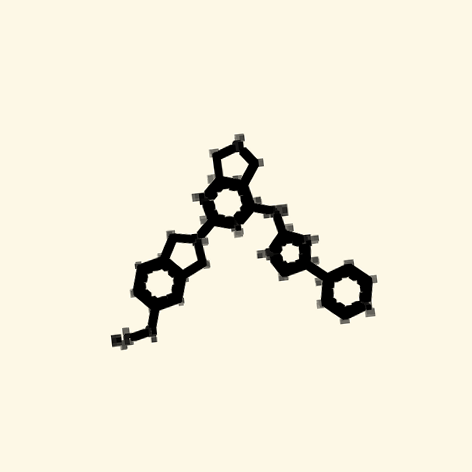 COc1ccc2c(c1)CN(c1nc3c(c(Nc4nc(-c5ccncc5)cs4)n1)COC3)C2